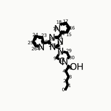 CCCCCC(O)N1CCN(c2nc(-c3ccccn3)nc(-c3ccccn3)n2)CC1